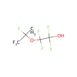 CC(F)(OC(F)(F)C(O)(F)F)C(F)(F)F